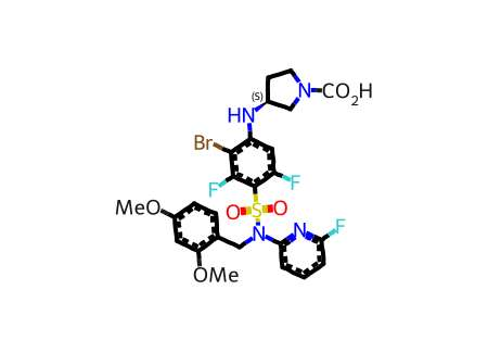 COc1ccc(CN(c2cccc(F)n2)S(=O)(=O)c2c(F)cc(N[C@H]3CCN(C(=O)O)C3)c(Br)c2F)c(OC)c1